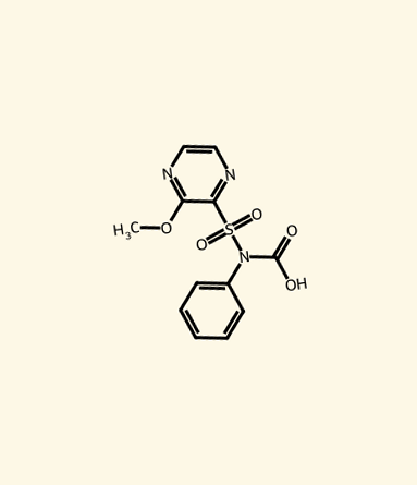 COc1nccnc1S(=O)(=O)N(C(=O)O)c1ccccc1